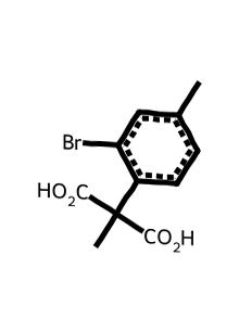 Cc1ccc(C(C)(C(=O)O)C(=O)O)c(Br)c1